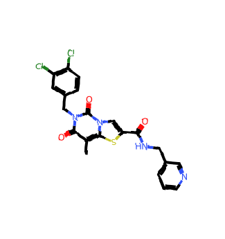 Cc1c(=O)n(Cc2ccc(Cl)c(Cl)c2)c(=O)n2cc(C(=O)NCc3cccnc3)sc12